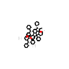 Cc1ccc(N(c2ccccc2C)c2cc3c(c4c2-c2c(ccc5c2oc2cccc(N(c6ccccc6C)c6ccccc6C)c25)C4(c2ccccc2)c2ccccc2)c2ccncc2n3-c2ccccc2)cc1